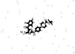 CC(C)(C)OC(=O)N1CCN(c2ccc(Nc3nc(N)c(C(=O)c4c(F)cc(F)cc4F)s3)cc2)CC1